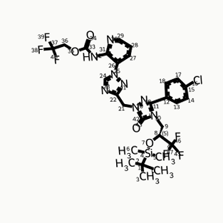 CC(C)(C)[Si](C)(C)O[C@@H](Cn1c(-c2ccc(Cl)cc2)nn(Cc2ncn(-c3cccnc3NC(=O)OCC(F)(F)F)n2)c1=O)C(F)(F)F